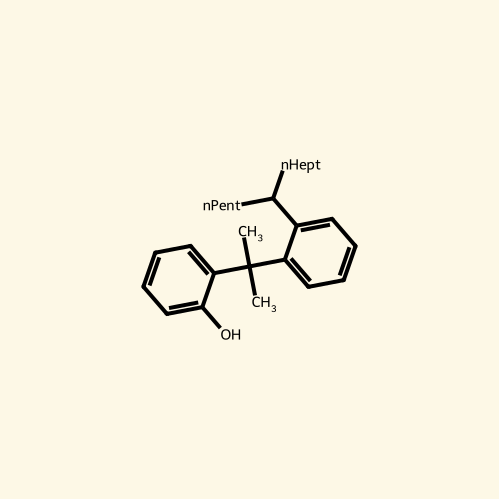 CCCCCCCC(CCCCC)c1ccccc1C(C)(C)c1ccccc1O